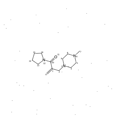 C=C(CN1CCN(C)CC1)C(=O)N1CCCC1